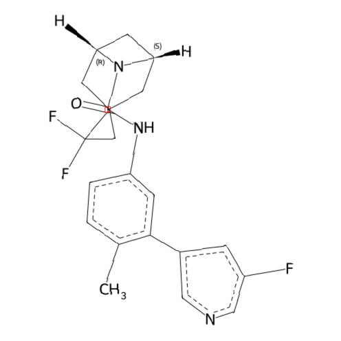 Cc1ccc(NC(=O)N2[C@@H]3C[C@H]2CC2(C3)CC2(F)F)cc1-c1cncc(F)c1